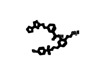 O=C(O)COc1ccc(CCCS(=O)(=O)c2ccc(Cl)cc2)cc1NC(=O)c1cccc(COc2nc(C3CCCC3)cs2)c1